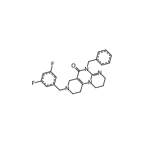 O=C1C2=C(CCN(Cc3cc(F)cc(F)c3)C2)N2CCCN=C2N1Cc1ccccc1